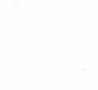 C=C(N[N@]1CC1(C)C)c1ccc2c(n1)N(C(=C)Nc1ccccn1)C(C)(CCC)CC2